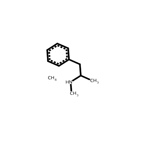 C.CNC(C)Cc1ccccc1